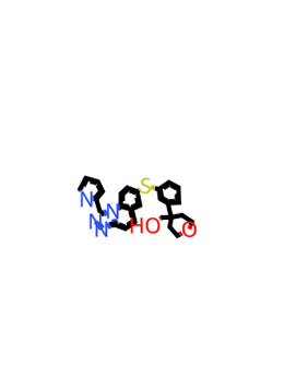 OCC1(c2cccc(Sc3ccc4c(ccc5nnc(-c6ccccn6)n54)c3)c2)CCOCC1